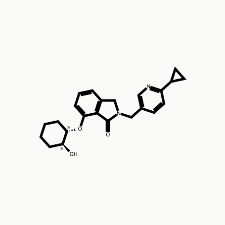 O=C1c2c(cccc2O[C@H]2CCCC[C@@H]2O)CN1Cc1ccc(C2CC2)nc1